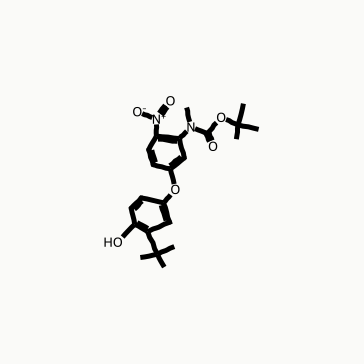 CN(C(=O)OC(C)(C)C)c1cc(Oc2ccc(O)c(C(C)(C)C)c2)ccc1[N+](=O)[O-]